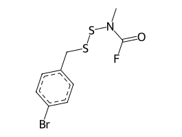 CN(SSCc1ccc(Br)cc1)C(=O)F